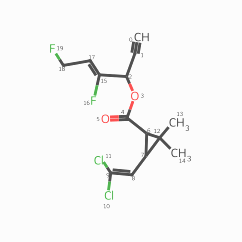 C#CC(OC(=O)C1C(C=C(Cl)Cl)C1(C)C)C(F)=CCF